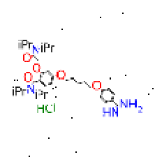 CC(C)N(C(=O)COc1cc(OCCCCCOc2ccc(C(=N)N)cc2)ccc1C(=O)N(C(C)C)C(C)C)C(C)C.Cl